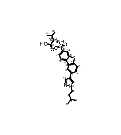 CC(C)CCn1cc(-c2ccc3sc4cc(S(=O)(=O)N[C@H](C(=O)O)C(C)C)ccc4c3c2)cn1